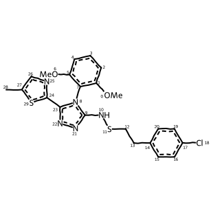 COc1cccc(OC)c1-n1c(NSCCc2ccc(Cl)cc2)nnc1-c1ncc(C)s1